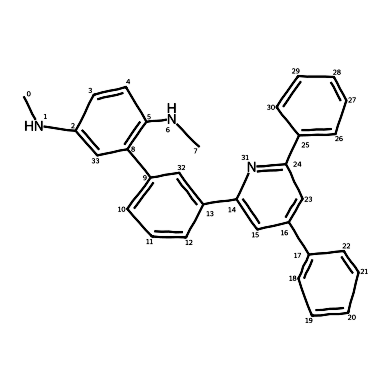 CNc1ccc(NC)c(-c2cccc(-c3cc(-c4ccccc4)cc(-c4ccccc4)n3)c2)c1